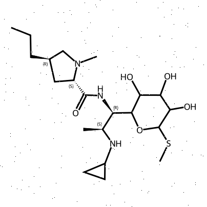 CCC[C@@H]1C[C@@H](C(=O)N[C@@H](C2OC(SC)C(O)C(O)C2O)[C@H](C)NC2CC2)N(C)C1